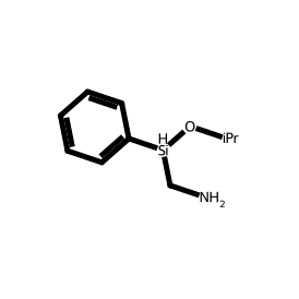 CC(C)O[SiH](CN)c1ccccc1